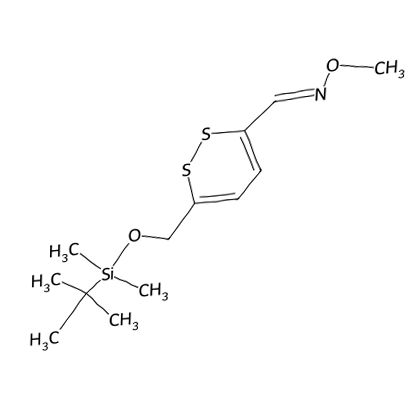 CON=CC1=CC=C(CO[Si](C)(C)C(C)(C)C)SS1